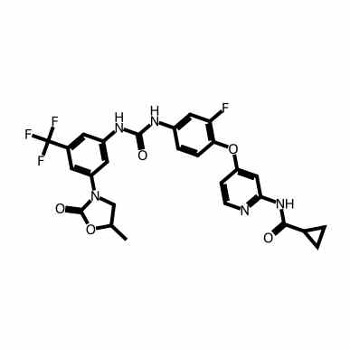 CC1CN(c2cc(NC(=O)Nc3ccc(Oc4ccnc(NC(=O)C5CC5)c4)c(F)c3)cc(C(F)(F)F)c2)C(=O)O1